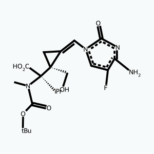 CC(C)[C@@](C(=O)O)(N(C)C(=O)OC(C)(C)C)[C@@]1(CO)C/C1=C/n1cc(F)c(N)nc1=O